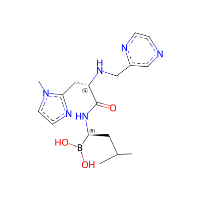 CC(C)C[C@H](NC(=O)[C@H](Cc1nccn1C)NCc1cnccn1)B(O)O